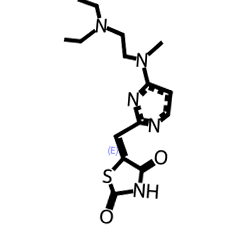 CCN(CC)CCN(C)c1ccnc(/C=C2/SC(=O)NC2=O)n1